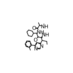 CCC(C(=N)C(=O)C(NC(=O)C(C)NC)C1CCCCC1)c1cc(-c2ccccc2C)ncn1